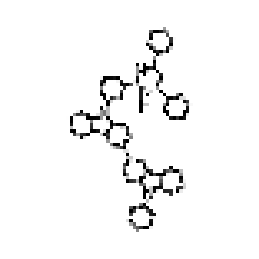 C1=C(c2ccccc2)NC(c2cccc(-n3c4ccccc4c4cc(-c5ccc6c(c5)c5ccccc5n6-c5ccccc5)ccc43)c2)N=C1c1ccccc1